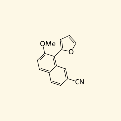 COc1ccc2ccc(C#N)cc2c1-c1ccco1